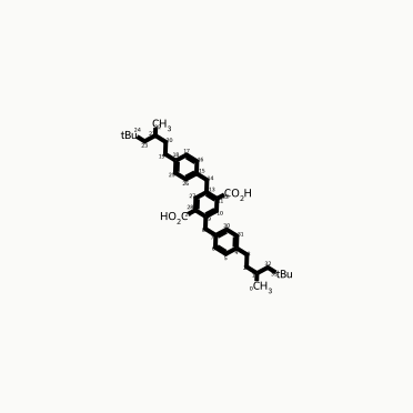 CC(CCc1ccc(Cc2cc(C(=O)O)c(Cc3ccc(CCC(C)CC(C)(C)C)cc3)cc2C(=O)O)cc1)CC(C)(C)C